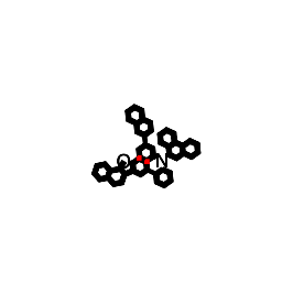 c1cc(-c2ccc3ccccc3c2)cc(N(c2ccccc2-c2ccc3oc4c5ccccc5ccc4c3c2)c2cc3ccccc3c3ccccc23)c1